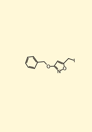 ICc1cc(OCc2ccccc2)no1